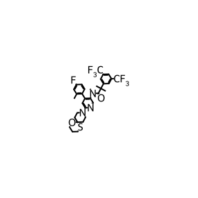 Cc1cc(F)ccc1-c1cc(N2CCC3(CC2)OCCCS3)ncc1N(C)C(=O)C(C)(C)c1cc(C(F)(F)F)cc(C(F)(F)F)c1